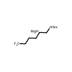 [CH2]CCCCCCCCCCC(F)(F)F.[MgH2]